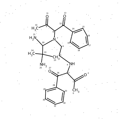 CC(=O)C(NCCN(C(C(C)=O)C(=O)c1ccccc1)C(N)C(C)(C)N)C(=O)c1ccccc1